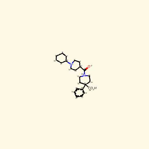 O=C(C1CCN(C2CCCCC2)CC1)N1CCC(C(=O)O)(c2ccccc2)CC1